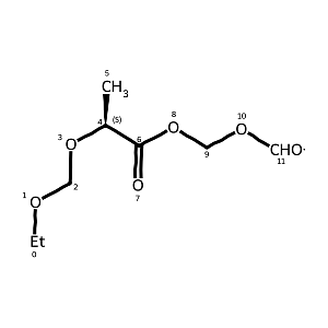 CCOCO[C@@H](C)C(=O)OCO[C]=O